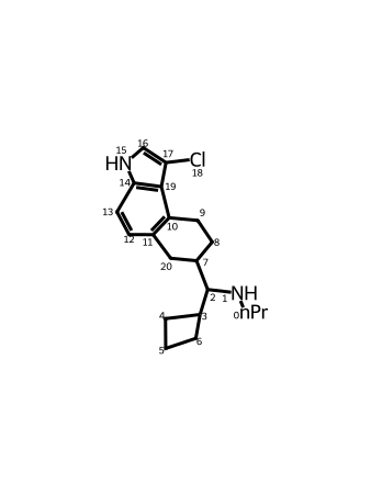 CCCNC(C1CCC1)C1CCc2c(ccc3[nH]cc(Cl)c23)C1